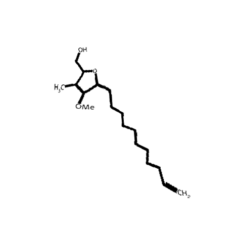 C=CCCCCCCCCCC1OC(CO)C(C)C1OC